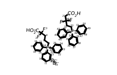 O=C(O)C(F)(F)CCC[P+](c1ccccc1)(c1ccccc1)c1ccccc1.O=C(O)CC(F)(F)CC[P+](c1ccccc1)(c1ccccc1)c1ccccc1.[Br-].[Br-]